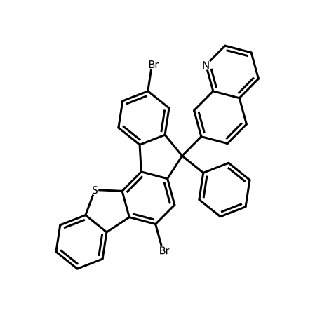 Brc1ccc2c(c1)C(c1ccccc1)(c1ccc3cccnc3c1)c1cc(Br)c3c(sc4ccccc43)c1-2